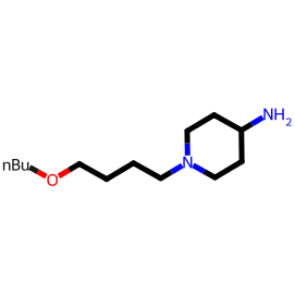 CCCCOCCCCN1CCC(N)CC1